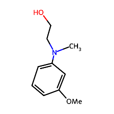 COc1cccc(N(C)CCO)c1